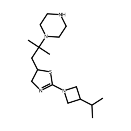 CC(C)C1CN(C2=NCC(CC(C)(C)N3CCNCC3)S2)C1